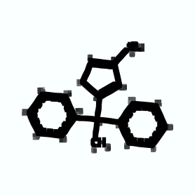 CC(C)(C)C1=CCC(C(C)(c2ccccc2)c2ccccc2)=C1